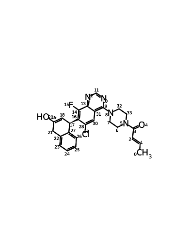 C/C=C/C(=O)N1CCN(c2ncnc3c(F)c([C@@H]4C=C(O)Cc5ccccc54)c(Cl)cc23)CC1